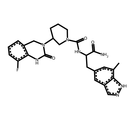 Cc1cc(CC(NC(=O)N2CCCC(N3Cc4cccc(F)c4NC3=O)C2)C(N)=O)cc2cn[nH]c12